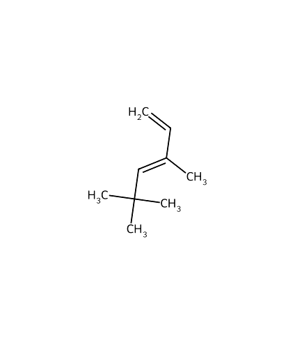 C=CC(C)=CC(C)(C)C